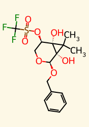 CC1(C)[C@]2(O)[C@H](OS(=O)(=O)C(F)(F)F)CO[C@H](OCc3ccccc3)[C@]12O